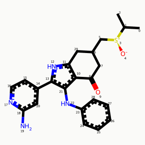 CC(C)[S@@+]([O-])CC1CC(=O)c2c([nH]c(-c3ccnc(N)c3)c2Nc2ccccc2)C1